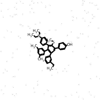 CCc1cccc(-c2[c]c(-c3ccc(O)cc3)c(SC)c(-c3ccc(N(CC)CC)cc3)c2-c2cc(C)cc(C)c2)c1